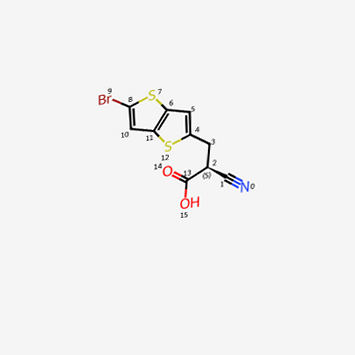 N#C[C@H](Cc1cc2sc(Br)cc2s1)C(=O)O